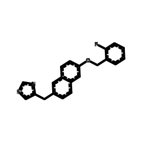 Fc1ccccc1COc1ccc2cc(Cc3cscn3)ccc2c1